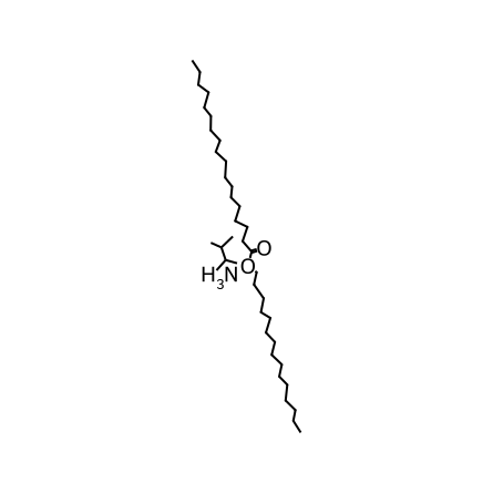 CC(C)C(C)C.CCCCCCCCCCCCCCCCCC(=O)OCCCCCCCCCCCCCCC.N